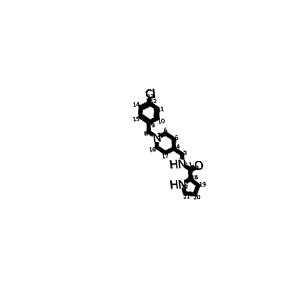 O=C(NCC1CCN(Cc2ccc(Cl)cc2)CC1)C1CCCN1